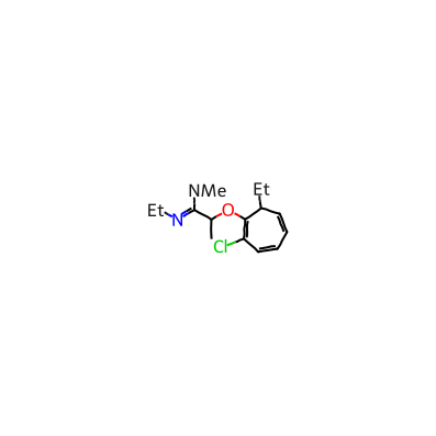 CC/N=C(\NC)C(C)OC1=C(Cl)C=CC=CC1CC